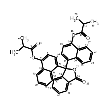 CC(C)C(=O)Oc1ccc(C2(c3ccc(OC(=O)C(C)C)c4ccccc34)OC(=O)c3ccccc32)c2ccccc12